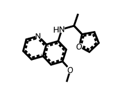 COc1cc(NC(C)c2ccco2)c2ncccc2c1